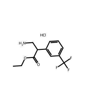 CCOC(=O)C(CN)c1cccc(C(F)(F)F)c1.Cl